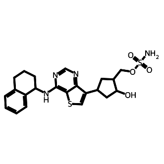 NS(=O)(=O)OCC1CC(c2csc3c(NC4CCCc5ccccc54)ncnc23)CC1O